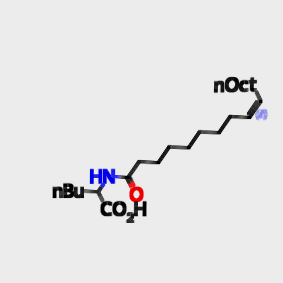 CCCCCCCC/C=C\CCCCCCCC(=O)NC(CCCC)C(=O)O